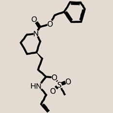 C=CCNC(CC[C@H]1CCCN(C(=O)OCc2ccccc2)C1)OS(C)(=O)=O